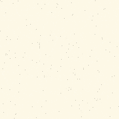 Cc1nc(C(C)(O)c2cc(Cl)c(F)c(C(=O)N[C@H](C)c3ccccc3)c2OC(C)C)n2ccnc(N)c12